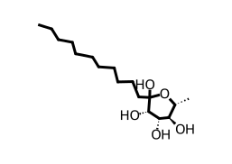 CCCCCCCCCCCC1(O)O[C@H](C)[C@@H](O)[C@H](O)[C@@H]1O